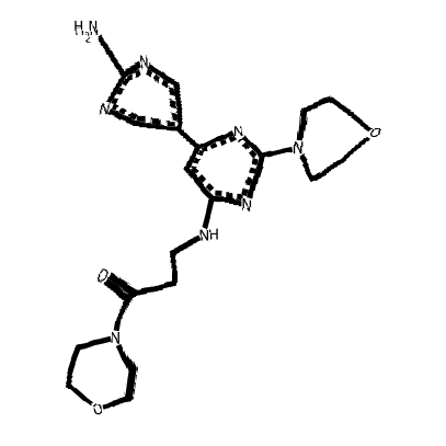 Nc1ncc(-c2cc(NCCC(=O)N3CCOCC3)nc(N3CCOCC3)n2)cn1